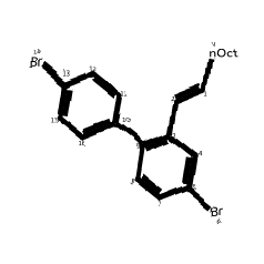 CCCCCCCCC=Cc1cc(Br)ccc1-c1ccc(Br)cc1